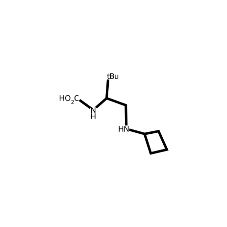 CC(C)(C)C(CNC1CCC1)NC(=O)O